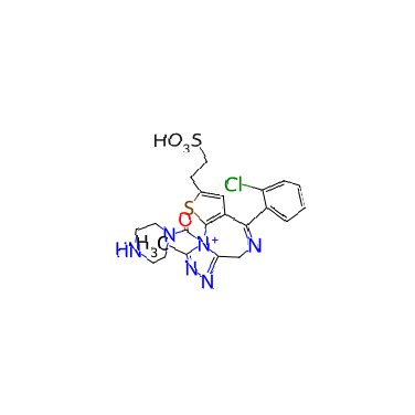 CC1=NN=C2CN=C(c3ccccc3Cl)c3cc(CCS(=O)(=O)O)sc3[N+]12C(=O)N1CCNCC1